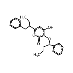 CCCC(Oc1c(O)cc(C(CC)Cc2ccccc2)oc1=O)c1ccccc1